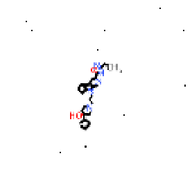 CCc1noc(-c2cc3c4ccccc4n(CCCN4CCC(O)(c5ccccc5)CC4)c3cn2)n1